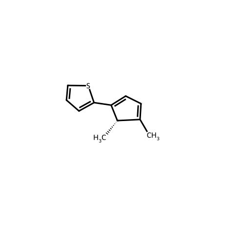 CC1=CC=C(c2cccs2)[C@H]1C